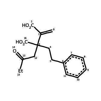 C=C(C(=O)O)C(CCc1ccccc1)(CC(=O)CC)C(=O)O